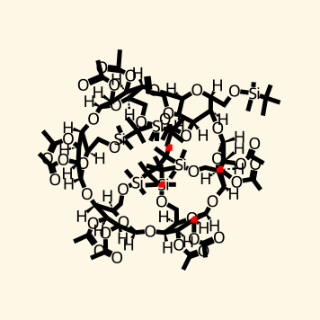 C=CCO[C@H]1[C@H]2O[C@H]3[C@H](OC(C)=O)[C@@H](OC(C)=O)[C@@H](O[C@H]4[C@H](OC(C)=O)[C@@H](OC(C)=O)[C@@H](O[C@H]5[C@H](OC(C)=O)[C@@H](OC(C)=O)[C@@H](O[C@H]6[C@H](OC(C)=O)[C@@H](OC(C)=O)[C@@H](O[C@H]7[C@H](OC(C)=O)[C@@H](OC(C)=O)[C@@H](O[C@@H]([C@@H]1OC(C)=O)[C@@H](CO[Si](C)(C)C(C)(C)C)O2)O[C@@H]7CO[Si](C)(C)C(C)(C)C)O[C@@H]6CO[Si](C)(C)C(C)(C)C)O[C@@H]5CO[Si](C)(C)C(C)(C)C)O[C@@H]4CO[Si](C)(C)C(C)(C)C)O[C@@H]3CO[Si](C)(C)C(C)(C)C